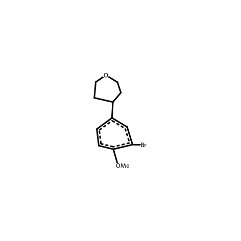 COc1ccc(C2CCOCC2)cc1Br